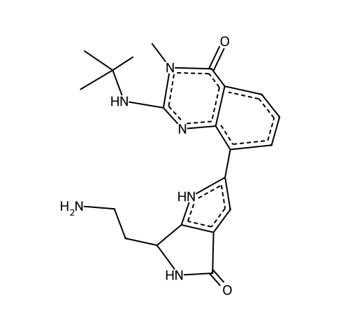 Cn1c(NC(C)(C)C)nc2c(-c3cc4c([nH]3)C(CCN)NC4=O)cccc2c1=O